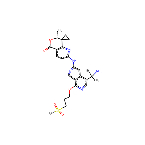 CCC(C)(N)c1cnc(OCCCS(C)(=O)=O)c2cnc(Nc3ccc4c(n3)C3(CC3)[C@@H](C)OC4=O)cc12